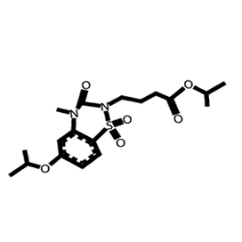 CC(C)OC(=O)CCCN1C(=O)N(C)c2cc(OC(C)C)ccc2S1(=O)=O